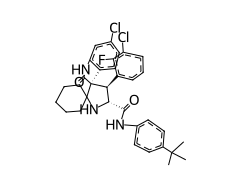 CC(C)(C)c1ccc(NC(=O)[C@@H]2NC3(CCCCC3)[C@@]3(C(=O)Nc4cc(Cl)ccc43)[C@H]2c2cccc(Cl)c2F)cc1